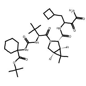 CC(C)(C)OC(=O)C1(NC(=O)N[C@H](C(=O)N2C[C@H]3[C@@H]([C@H]2C(=O)NC(CC2CCC2)C(=O)C(N)=O)C3(C)C)C(C)(C)C)CCCCC1